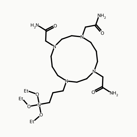 CCO[Si](CCCN1CCCN(CC(N)=O)CCN(CC(N)=O)CCCN(CC(N)=O)CC1)(OCC)OCC